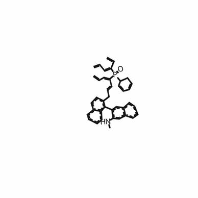 C=C/C=C(\C=C)P(=O)(C(/C=C/Cc1ccc2ccccc2c1-c1cc2ccccc2cc1NC)=C/C=C)C1C=CC=CC1